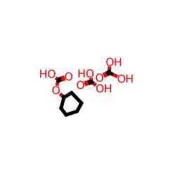 O=C(O)O.O=C(O)O.O=C(O)OC1CCCCC1